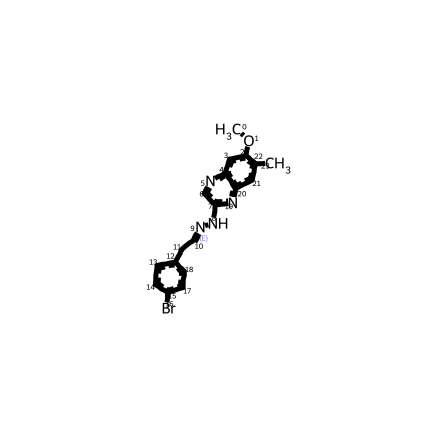 COc1cc2ncc(N/N=C/Cc3ccc(Br)cc3)nc2cc1C